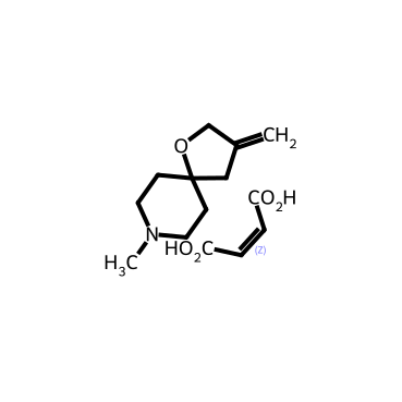 C=C1COC2(CCN(C)CC2)C1.O=C(O)/C=C\C(=O)O